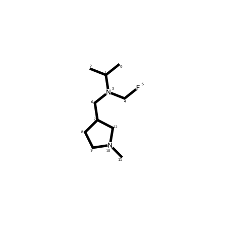 CC(C)N(CF)CC1CCN(C)C1